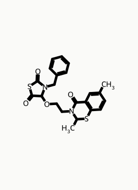 Cc1ccc2c(c1)C(=O)N(CCOC1C(=O)SC(=O)N1Cc1ccccc1)C(C)S2